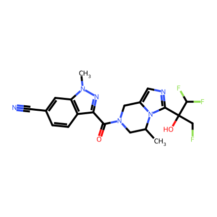 CC1CN(C(=O)c2nn(C)c3cc(C#N)ccc23)Cc2cnc(C(O)(CF)C(F)F)n21